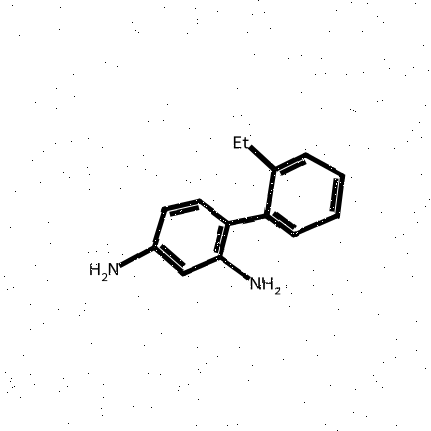 CCc1ccccc1-c1ccc(N)cc1N